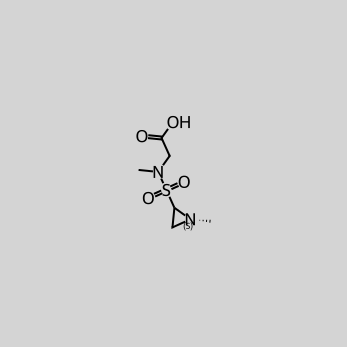 CN(CC(=O)O)S(=O)(=O)C1C[N@@]1C